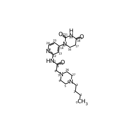 CCCCN1CCN(CC(=O)Nc2cc(N3CCC(=O)NC3=O)ccn2)CC1